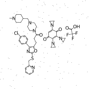 CN1CCC(CN2CCN(C(=O)CCc3oc(SCc4ccccn4)nc3-c3ccc(Cl)cc3)CC2)CC1.O=C(O)C(F)(F)F.O=C1C=C(N2CC2)C(=O)C(N2CC2)=C1N1CC1